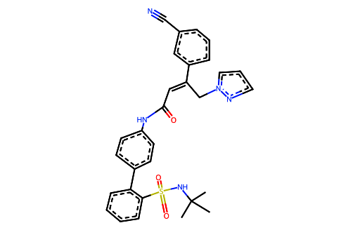 CC(C)(C)NS(=O)(=O)c1ccccc1-c1ccc(NC(=O)C=C(Cn2cccn2)c2cccc(C#N)c2)cc1